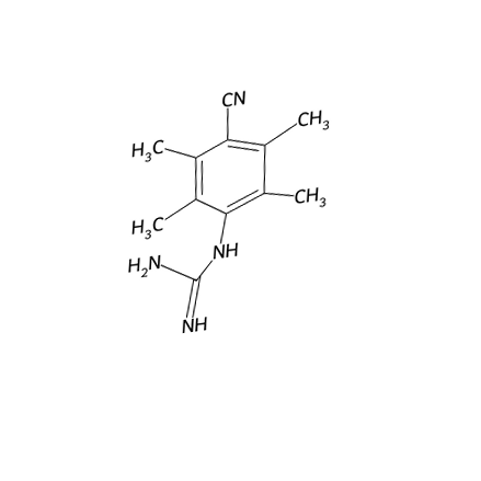 Cc1c(C)c(NC(=N)N)c(C)c(C)c1C#N